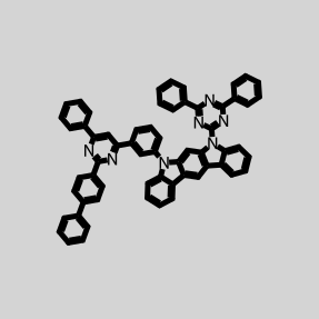 c1ccc(-c2ccc(-c3nc(-c4ccccc4)cc(-c4cccc(-n5c6ccccc6c6cc7c8ccccc8n(-c8nc(-c9ccccc9)nc(-c9ccccc9)n8)c7cc65)c4)n3)cc2)cc1